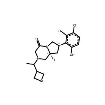 CC(C1CNC1)N1CC(=O)N2C[C@@H](c3c(O)ccc(Cl)c3Cl)C[C@H]2C1